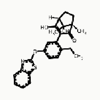 CCc1ccc(Oc2nc3ccccc3s2)cc1C1=C(O)[C@@H]2CC[C@](C)(C1=O)C2(C)C